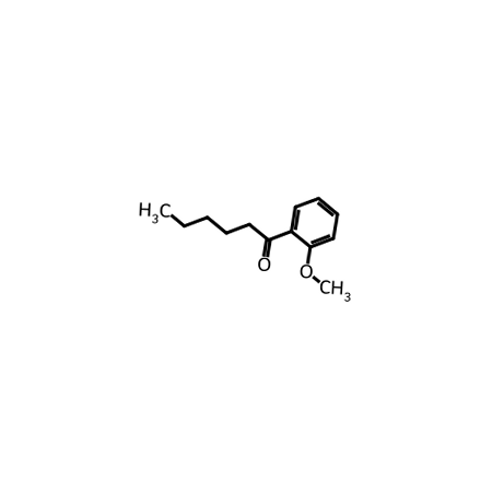 CCCCCC(=O)c1ccccc1OC